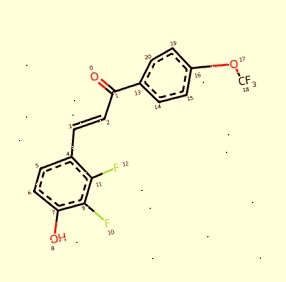 O=C(/C=C/c1ccc(O)c(F)c1F)c1ccc(OC(F)(F)F)cc1